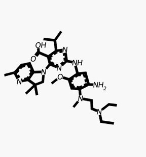 CCN(CC)CCN(C)c1cc(OC)c(Nc2nc(C(C)C)c(C(=O)O)c(N3CC(C)(C)c4nc(C)ccc43)n2)cc1N